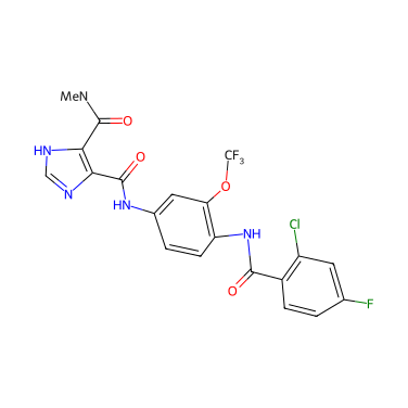 CNC(=O)c1[nH]cnc1C(=O)Nc1ccc(NC(=O)c2ccc(F)cc2Cl)c(OC(F)(F)F)c1